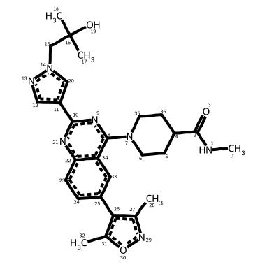 CNC(=O)C1CCN(c2nc(-c3cnn(CC(C)(C)O)c3)nc3ccc(-c4c(C)noc4C)cc23)CC1